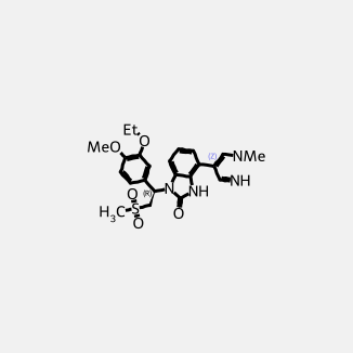 CCOc1cc([C@H](CS(C)(=O)=O)n2c(=O)[nH]c3c(/C(C=N)=C/NC)cccc32)ccc1OC